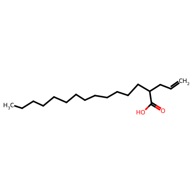 C=CCC(CCCCCCCCCCCCC)C(=O)O